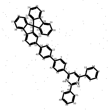 c1ccc(-c2cc(-c3ccc(-c4ccc(-c5ccc6c(c5)C5(c7ccccc7-c7ccccc75)c5ccccc5-6)cc4)cc3)nc(-c3ccccc3)n2)cc1